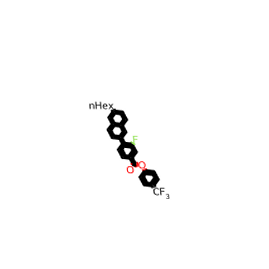 CCCCCCC1CCC2CC(c3ccc(C(=O)Oc4ccc(C(F)(F)F)cc4)cc3F)CCC2C1